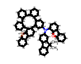 CC1(C)c2ccccc2-c2ccc(N(c3ccc4c5ccccc5c5ccccc5c5ccccc5c5c(ccc6c7ccccc7sc65)c4c3)c3cccc4c3oc3ccccc34)cc21